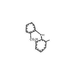 Cc1ccccc1Pc1ccccc1C(=O)O